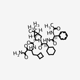 CC(=O)N[C@H](C(=O)N[C@H](C(=O)N1C[C@H]2[C@@H]([C@H]1C(=O)NC(CC1CCC1)C(=O)C(N)=O)C2(C)C)C1CCCCC1)c1ccccc1